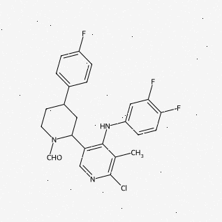 Cc1c(Cl)ncc(C2CC(c3ccc(F)cc3)CCN2C=O)c1Nc1ccc(F)c(F)c1